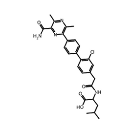 Cc1nc(C)c(-c2ccc(-c3ccc(CC(=O)NC(CC(C)C)C(=O)O)cc3Cl)cc2)nc1C(N)=O